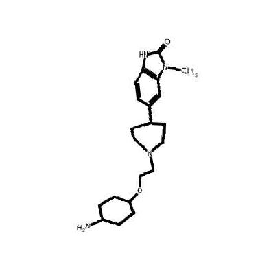 Cn1c(=O)[nH]c2ccc(C3CCN(CCOC4CCC(N)CC4)CC3)cc21